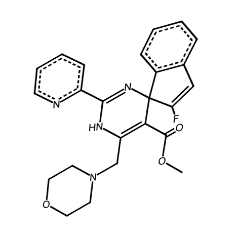 COC(=O)C1=C(CN2CCOCC2)NC(c2ccccn2)=NC12C(F)=Cc1ccccc12